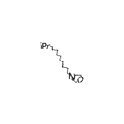 CC(C)CCCCCCCCCCN1CCOCC1